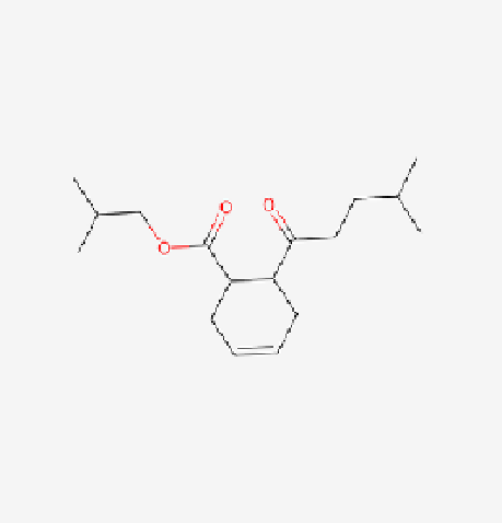 CC(C)CCC(=O)C1CC=CCC1C(=O)OCC(C)C